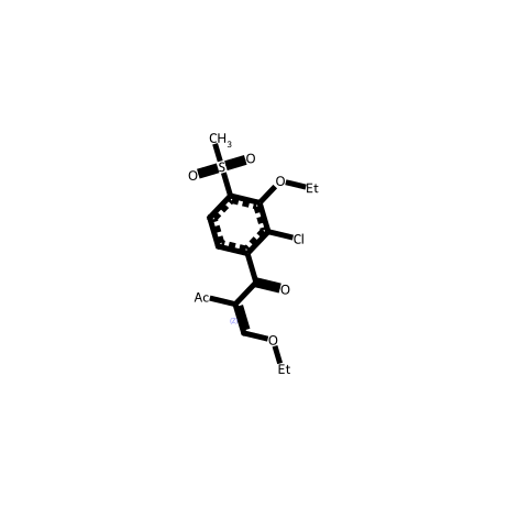 CCO/C=C(/C(C)=O)C(=O)c1ccc(S(C)(=O)=O)c(OCC)c1Cl